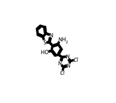 Nc1cc(-c2nc(Cl)nc(Cl)n2)cc(O)c1-c1nc2ccccc2s1